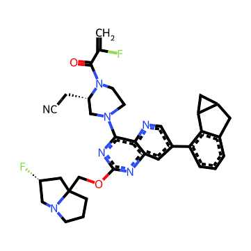 C=C(F)C(=O)N1CCN(c2nc(OCC34CCCN3C[C@H](F)C4)nc3cc(-c4cccc5c4C4CC4C5)cnc23)C[C@@H]1CC#N